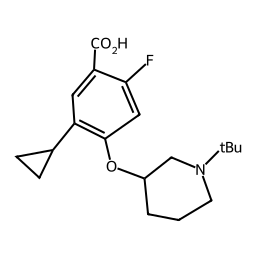 CC(C)(C)N1CCCC(Oc2cc(F)c(C(=O)O)cc2C2CC2)C1